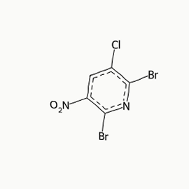 O=[N+]([O-])c1cc(Cl)c(Br)nc1Br